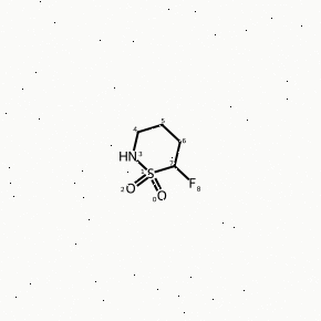 O=S1(=O)NCCCC1F